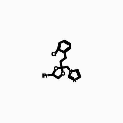 CC(C)C1COC(CCc2ccccc2Cl)(Cn2ccnc2)O1